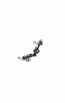 Cc1c(Cl)cccc1OCCCC(=O)N1CCCOc2c(-c3cnn(Cc4cccc(NC(=O)NCC[N+](C)(C)C)c4)c3)cccc21